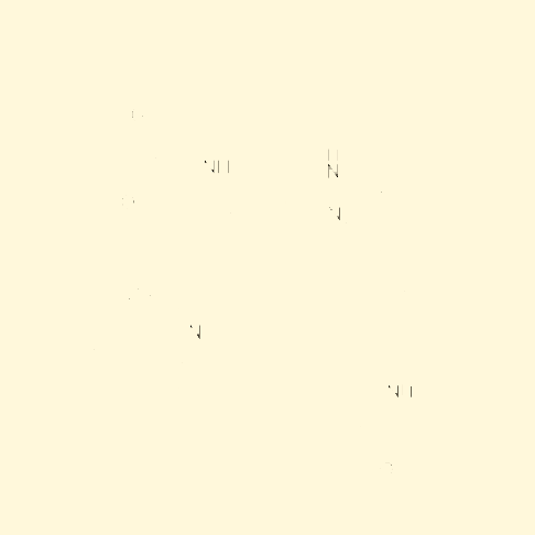 CC(C)(C)OC(=O)NC1Cc2cccc(n2)CCCC(=O)Nc2ccccc2-c2c[nH]c1n2